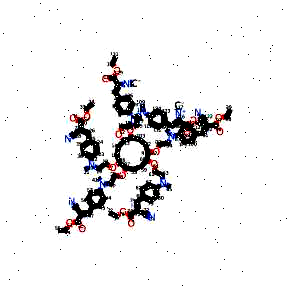 [C-]#[N+]/C(=C\c1ccc(N(C)CCOC2CCC(OCCN(C)c3ccc(/C=C(\C#N)C(=O)OCC)cc3)C(OCCN(C)c3ccc(/C=C(\C#N)C(=O)OCC)cc3)CCC(OCCN(C)c3ccc(/C=C(\C#N)C(=O)OCC)cc3)C(OCCN(C)c3ccc(/C=C(\C#N)C(=O)OCC)cc3)CCC2OCCN(C)c2ccc(/C=C(\[N+]#[C-])C(=O)OCC)cc2)cc1)C(=O)OCC